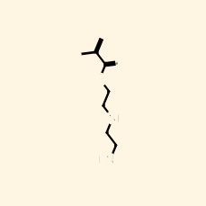 C=C(C)C(=O)OCCNCCN